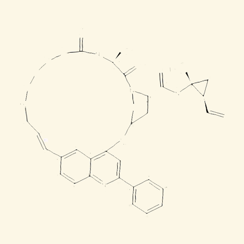 C=C[C@@H]1C[C@]1(NC(=O)[C@@H]1CC2CN1C(=O)[C@H](CCCC)NC(=O)OCCCCC/C=C/c1ccc3nc(-c4ccccc4)cc(c3c1)O2)C(=O)O